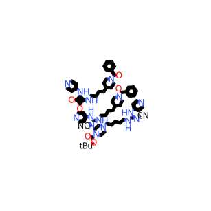 CC(C)(C)OC(=O)N1CCN(CCCCCNC(=NC#N)Nc2ccncc2)CC1.N#CN=C(NCCCCC1CCN(C(=O)c2ccccc2)CC1)Nc1ccncc1.O=C(c1ccccc1)N1CCC(CCCCNc2c(Nc3ccncc3)c(=O)c2=O)CC1